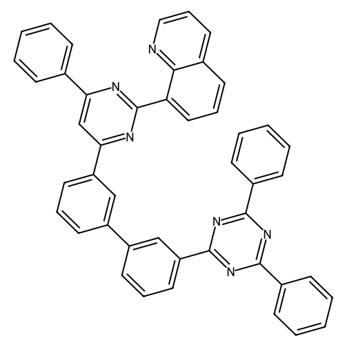 c1ccc(-c2cc(-c3cccc(-c4cccc(-c5nc(-c6ccccc6)nc(-c6ccccc6)n5)c4)c3)nc(-c3cccc4cccnc34)n2)cc1